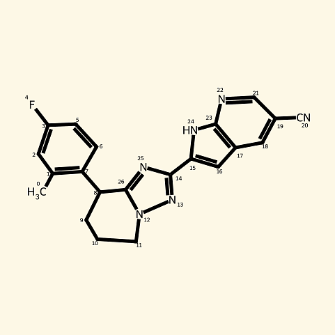 Cc1cc(F)ccc1C1CCCn2nc(-c3cc4cc(C#N)cnc4[nH]3)nc21